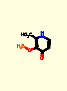 O=C(O)c1[nH]ccc(=O)c1OP